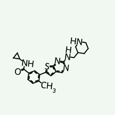 Cc1ccc(C(=O)NC2CC2)cc1-c1cc2cnc(NCC3CCCNC3)nc2s1